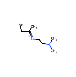 CC(=O)C/C(C)=N/CCN(C)C